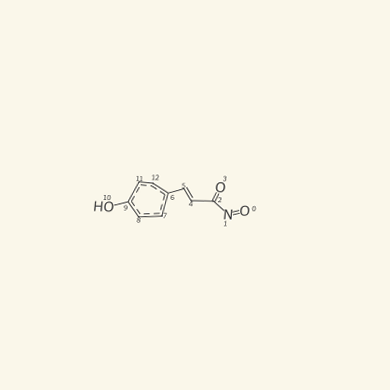 O=NC(=O)/C=C/c1ccc(O)cc1